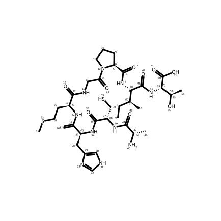 CC[C@H](C)[C@H](NC(=O)[C@@H]1CCCN1C(=O)CNC(=O)[C@H](CCSC)NC(=O)[C@H](Cc1c[nH]cn1)NC(=O)[C@H](CS)NC(=O)[C@H](C)N)C(=O)N[C@H](C(=O)O)[C@@H](C)O